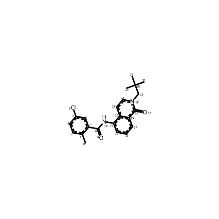 Cc1ccc(Cl)cc1C(=O)Nc1cccc2c(=O)n(CC(C)(C)C)ccc12